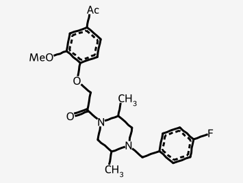 COc1cc(C(C)=O)ccc1OCC(=O)N1CC(C)N(Cc2ccc(F)cc2)CC1C